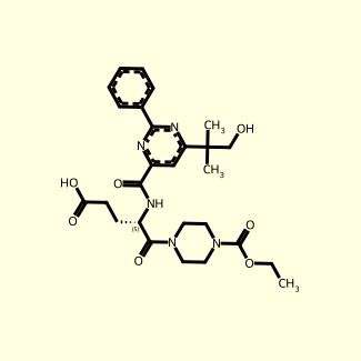 CCOC(=O)N1CCN(C(=O)[C@H](CCC(=O)O)NC(=O)c2cc(C(C)(C)CO)nc(-c3ccccc3)n2)CC1